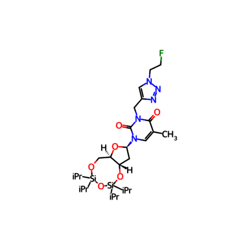 Cc1cn([C@H]2C[C@@H]3O[Si](C(C)C)(C(C)C)O[Si](C(C)C)(C(C)C)OC[C@H]3O2)c(=O)n(Cc2cn(CCF)nn2)c1=O